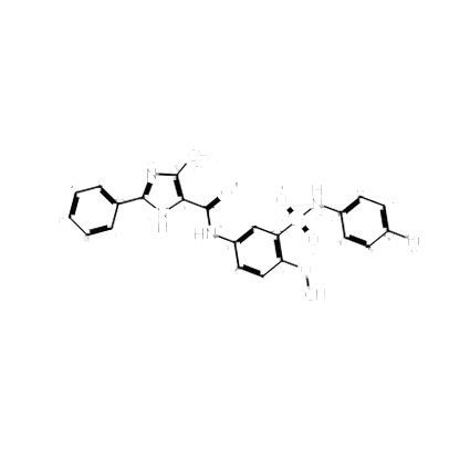 COc1ccc(NC(=O)c2[nH]c(-c3ccccc3)nc2C)cc1S(=O)(=O)Nc1ccc(Br)cc1